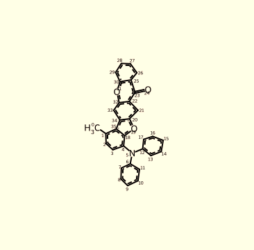 Cc1ccc(N(c2ccccc2)c2ccccc2)c2oc3cc4c(=O)c5ccccc5oc4cc3c12